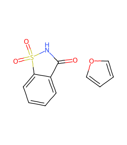 O=C1NS(=O)(=O)c2ccccc21.c1ccoc1